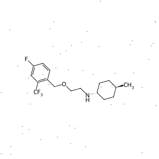 C[C@H]1CC[C@H](NCCOCc2ccc(F)cc2C(F)(F)F)CC1